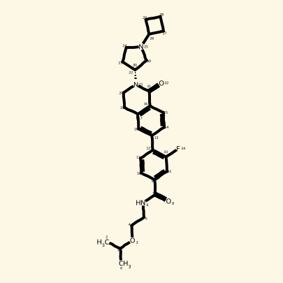 CC(C)OCCNC(=O)c1ccc(-c2ccc3c(c2)CCN([C@@H]2CCN(C4CCC4)C2)C3=O)c(F)c1